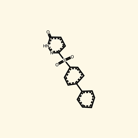 O=c1ccc(S(=O)(=O)c2ccc(-c3ccccc3)cc2)n[nH]1